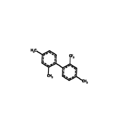 Cc1ccc(-c2ccc(C)cc2C(F)(F)F)c(C)c1